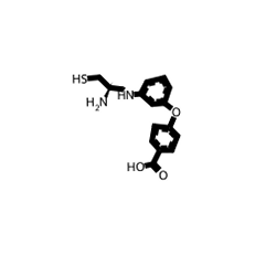 N[C@@H](CS)CNc1cccc(Oc2ccc(C(=O)O)cc2)c1